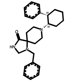 O=C1NCN(Cc2ccccc2)C12CCN([C@H]1CCCC[C@H]1c1ccccc1)CC2